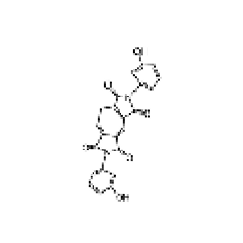 O=C1C2=CCC3=C(C=C2C(=O)N1c1cccc(O)c1)C(=O)N(c1cccc(O)c1)C3=O